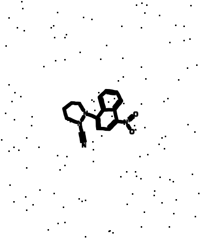 N#CN1CCCCN1c1ccc([N+](=O)[O-])c2ccccc12